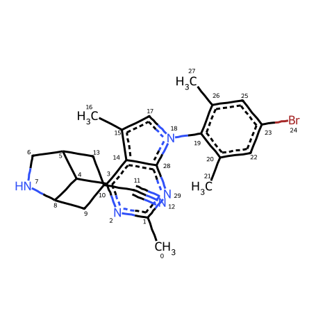 Cc1nc(C2C3CNC2CC(C#N)C3)c2c(C)cn(-c3c(C)cc(Br)cc3C)c2n1